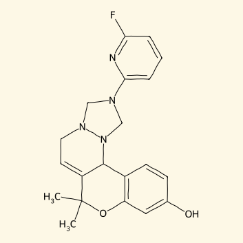 CC1(C)Oc2cc(O)ccc2C2C1=CCN1CN(c3cccc(F)n3)CN21